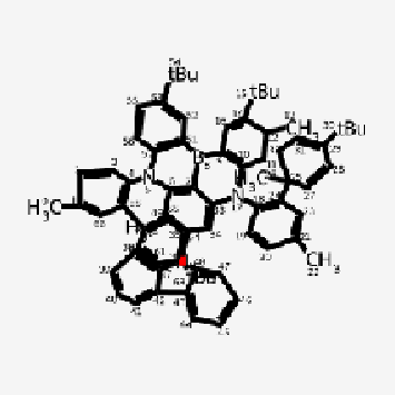 Cc1ccc(N2C3=C4B(C5=C(CC(C)C(C(C)(C)C)=C5)N(c5ccc(C)cc5C5(C)C=CC(C(C)(C)C)=CC5)C4=CC(n4c5ccccc5c5ccccc54)C3C)c3cc(C(C)(C)C)ccc32)c(-c2ccc(C(C)(C)C)cc2)c1